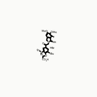 Br.CCN(CC)c1cc(C(=O)CN2Cc3cc(OC)c(OC)c(F)c3C2=N)cc(C(C)(C)C)c1OCC(=O)O